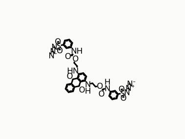 [N-]=[N+]=NS(=O)(=O)c1cccc(NC(=O)OCCNc2ccc(NCCOC(=O)Nc3cccc(S(=O)(=O)N=[N+]=[N-])c3)c3c2C(=O)c2ccccc2C3=O)c1